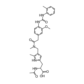 COc1cc(CC(=O)N(C)Cc2cc(CC(NC(C)=O)C(=O)O)[nH]c2C)ccc1NC(=O)Nc1ccccc1C